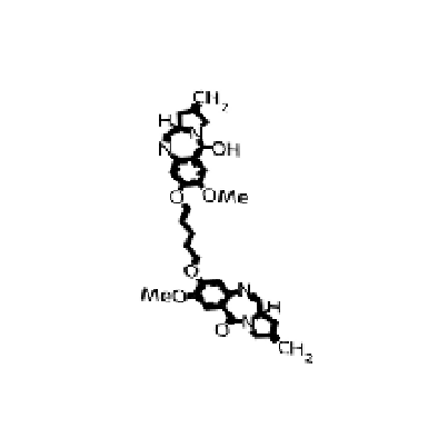 C=C1C[C@H]2C=Nc3cc(OCCCCCOc4cc5c(cc4OC)C(O)N4CC(=C)C[C@H]4C=N5)c(OC)cc3C(=O)N2C1